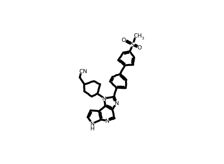 CS(=O)(=O)c1ccc(-c2ccc(-c3nc4cnc5[nH]ccc5c4n3C3CCC(CC#N)CC3)cc2)cc1